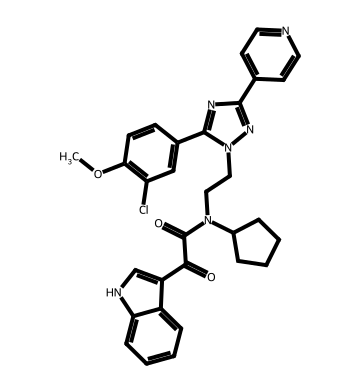 COc1ccc(-c2nc(-c3ccncc3)nn2CCN(C(=O)C(=O)c2c[nH]c3ccccc23)C2CCCC2)cc1Cl